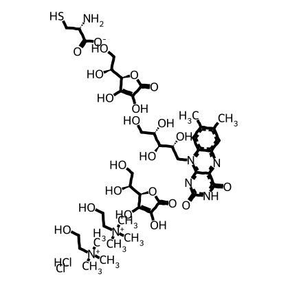 C[N+](C)(C)CCO.C[N+](C)(C)CCO.Cc1cc2nc3c(=O)[nH]c(=O)nc-3n(C[C@@H](O)[C@@H](O)[C@@H](O)CO)c2cc1C.Cl.N[C@@H](CS)C(=O)[O-].O=C1O[C@H]([C@@H](O)CO)C(O)=C1O.O=C1O[C@H]([C@@H](O)CO)C(O)=C1O.[Cl-]